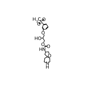 CS(=O)(=O)c1cccc(OCC(O)COC(=O)NC2COC3(CCNCC3)C2)c1